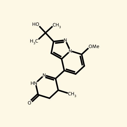 COc1ccc(C2=NNC(=O)CC2C)c2cc(C(C)(C)O)nn12